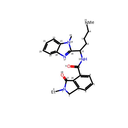 CCN1Cc2cccc(C(=O)NC(CCCNC)c3nc4ccccc4n3C)c2C1=O